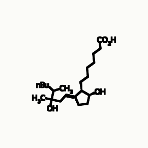 CCCCC(C)C(C)(O)CC=C1CC[C@H](O)[C@@H]1CCCCCCC(=O)O